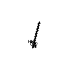 CCCCCCCCCCCCCCCCC(NC(C)=O)C(=O)OC(CC)N(C)C